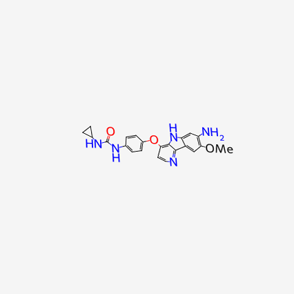 COc1cc2c(cc1N)[nH]c1c(Oc3ccc(NC(=O)NC4CC4)cc3)ccnc12